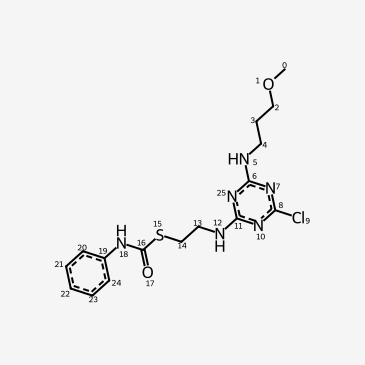 COCCCNc1nc(Cl)nc(NCCSC(=O)Nc2ccccc2)n1